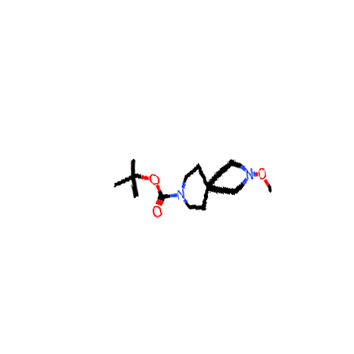 CON1CC2(CCN(C(=O)OC(C)(C)C)CC2)C1